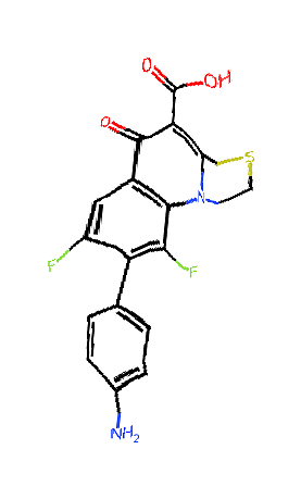 Nc1ccc(-c2c(F)cc3c(=O)c(C(=O)O)c4n(c3c2F)CS4)cc1